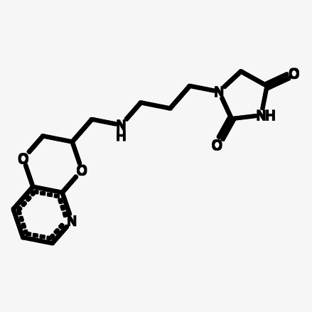 O=C1CN(CCCNCC2COc3cccnc3O2)C(=O)N1